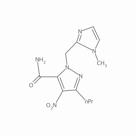 CCCc1nn(Cc2nccn2C)c(C(N)=O)c1[N+](=O)[O-]